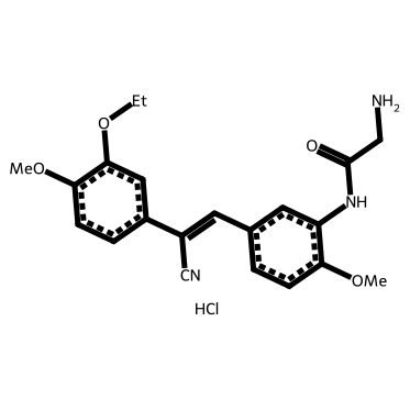 CCOc1cc(C(C#N)=Cc2ccc(OC)c(NC(=O)CN)c2)ccc1OC.Cl